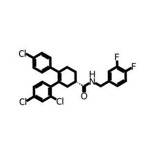 O=C(NCc1ccc(F)c(F)c1)[C@H]1CCC(c2ccc(Cl)cc2)=C(c2ccc(Cl)cc2Cl)C1